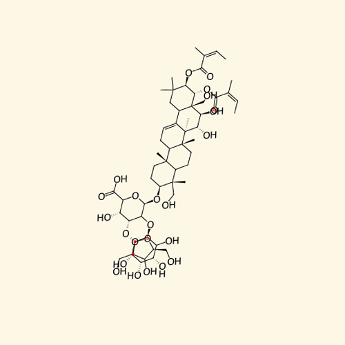 C/C=C(/C)C(=O)O[C@H]1[C@H](OC(=O)/C(C)=C\C)[C@@]2(CO)C(CC1(C)C)C1=CCC3[C@@]4(C)CC[C@H](O[C@@H]5OC(C(=O)O)[C@@H](O)[C@@H](O[C@@H]6O[C@@H](CO)C(O)[C@@H]6O)C5O[C@@H]5OC(CO)[C@@H](O)[C@@H](O)C5O)[C@@](C)(CO)C4CC[C@@]3(C)[C@]1(C)[C@@H](O)[C@@H]2O